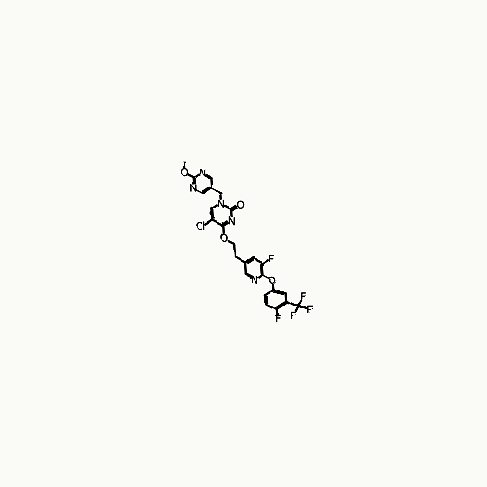 COc1ncc(Cn2cc(Cl)c(OCCc3cnc(Oc4ccc(F)c(C(F)(F)F)c4)c(F)c3)nc2=O)cn1